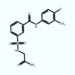 Cc1cc(NC(=O)c2cccc(S(=O)(=O)NCC(N)=O)c2)ccc1F